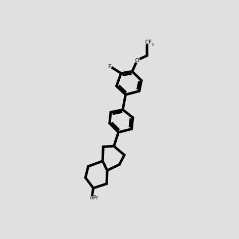 CCCC1CCC2CC(c3ccc(-c4ccc(OCC(F)(F)F)c(F)c4)cc3)CCC2C1